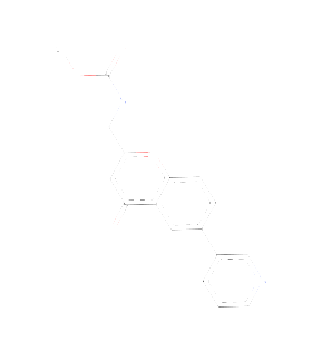 CC(C)(C)OC(=O)NCc1cc(=O)c2cc(-c3cccnc3)ccc2o1